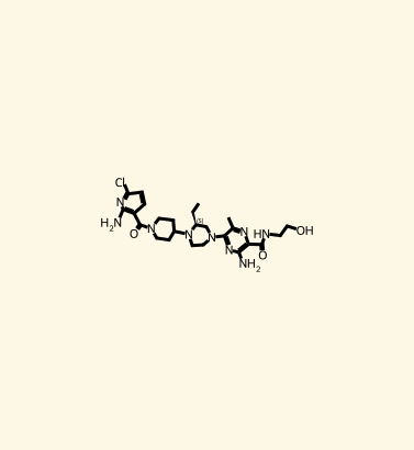 CC[C@H]1CN(c2nc(N)c(C(=O)NCCO)nc2C)CCN1C1CCN(C(=O)c2ccc(Cl)nc2N)CC1